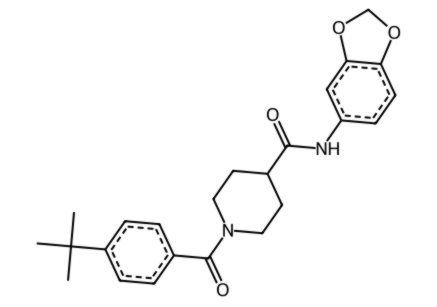 CC(C)(C)c1ccc(C(=O)N2CCC(C(=O)Nc3ccc4c(c3)OCO4)CC2)cc1